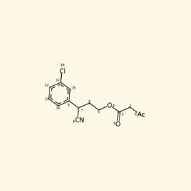 CC(=O)CC(=O)OCCC(C#N)c1cccc(Cl)c1